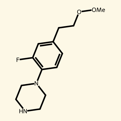 COOCCc1ccc(N2CCNCC2)c(F)c1